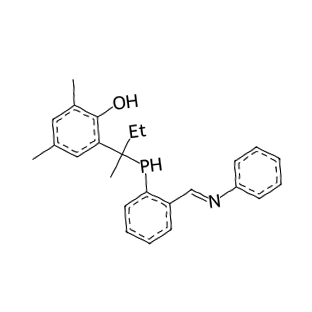 CCC(C)(Pc1ccccc1/C=N/c1ccccc1)c1cc(C)cc(C)c1O